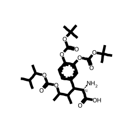 CC(C)C(C)OC(=O)OC(C)C(C)C(c1ccc(OC(=O)OC(C)(C)C)c(OC(=O)OC(C)(C)C)c1)[C@H](N)C(=O)O